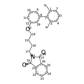 Cc1cccc(C)c1-c1cccc(OCCCCN2C(=O)c3ccccc3C2=O)c1